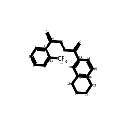 C=C(CCC(=C)c1ccccc1C(F)(F)F)c1ccc2c(c1)CCCC2